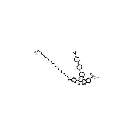 CCCCCCCCCCCCCCCCCCOc1ccc(S(=O)(=O)c2cnc3ccc([S+](C)[O-])cc3c2N2CCC(N3CCC(N4CCN(C5CC5)CC4)CC3)CC2)cc1